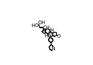 C[C@]12CC[C@@H]3[C@@H](CCC4=CC(=O)CC[C@@]43Cc3ccc(-c4cccnc4)cc3)[C@@H]1CCC2C=CC(O)O